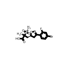 CC(C[C@@H]1CC(c2ccc(Br)cc2F)=NO1)(C(=O)O)S(C)(=O)=O